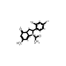 CC1=CC(=O)C2CC(c3ccc(F)cc3F)N(C(C)Cl)C2=C1